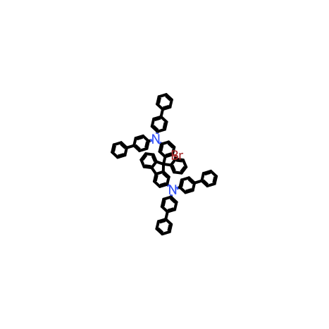 Brc1ccccc1C1(c2cccc(N(c3ccc(-c4ccccc4)cc3)c3ccc(-c4ccccc4)cc3)c2)c2ccccc2-c2ccc(N(c3ccc(-c4ccccc4)cc3)c3ccc(-c4ccccc4)cc3)cc21